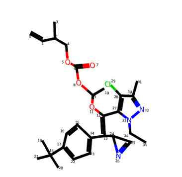 C=CC(C)COC(=O)OC(C)O/C(=C(\c1ccc(C(C)(C)C)cc1)C1C=N1)c1c(Cl)c(C)nn1CC